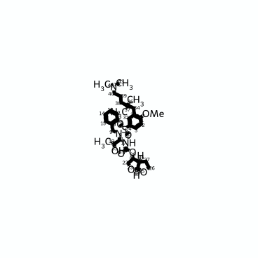 COc1ccc(S(=O)(=O)N(Cc2ccccc2)[C@H](NC(=O)O[C@@H]2CO[C@@H]3OCC[C@@H]32)[C@@H](C)O)cc1CC(C)(C)CCCN(C)C